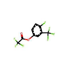 O=C(Oc1ccc(F)c(C(F)(F)F)c1)C(F)(F)F